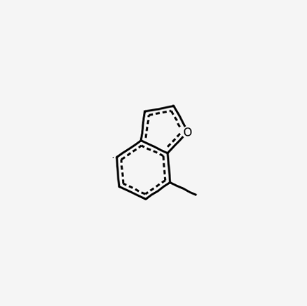 Cc1cc[c]c2ccoc12